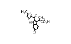 Cc1cnc(C(=O)c2[nH]c3cc(Cl)ccc3c2C(C)C(=O)O)s1